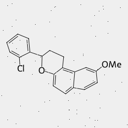 COc1ccc2ccc3c(c2c1)CCC(c1ccccc1Cl)O3